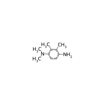 Cc1c(N)ccc(N(C)C)c1C